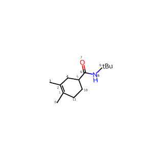 CC1=C(C)CC(C(=O)NC(C)(C)C)CC1